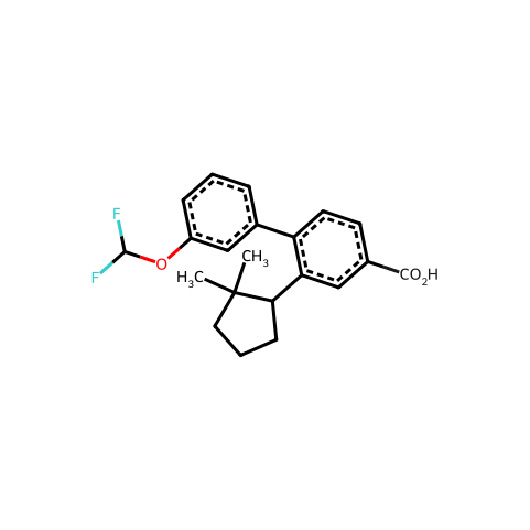 CC1(C)CCCC1c1cc(C(=O)O)ccc1-c1cccc(OC(F)F)c1